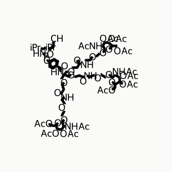 C#CCCOP(NC(C(C)C)C(C)C)Oc1ccc(C(=O)NC(COCCC(=O)NCCOCCOC2OC(COC(C)=O)C(OC(C)=O)C(OC(C)=O)C2NC(C)=O)(COCCC(=O)NCCOCCOC2OC(COC(C)=O)C(OC(C)=O)C(OC(C)=O)C2NC(C)=O)COCCC(=O)NCCOCCOC2OC(COC(C)=O)C(OC(C)=O)C(OC(C)=O)C2NC(C)=O)cc1